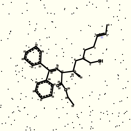 C/C=C/CCC(CS)C[C@@H](C)C(N=C(c1ccccc1)c1ccccc1)C(=O)OCC